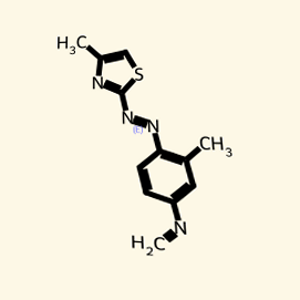 C=Nc1ccc(/N=N/c2nc(C)cs2)c(C)c1